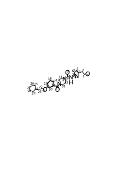 O=CCc1csc(NC(=O)N2CCN(C(=O)c3cccc(OCCC4CCCCC4)c3)CC2)n1